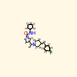 CC(C1CCN(C(=O)Nc2ccccc2)C1)N1CCC(Cc2ccc(F)cc2)CC1